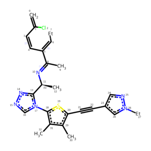 C=C(Cl)\C=C/C(=C\CC)C(/C)=N/[C@@H](C)c1nncn1-c1sc(C#Cc2cnn(CC)c2)c(C)c1C